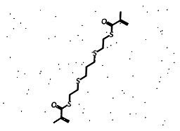 C=C(C)C(=O)SCCSCCCSCCSC(=O)C(=C)C